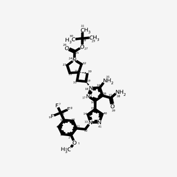 COc1ccc(C(F)(F)F)cc1Cn1cc(-c2nn([C@H]3C[C@@]4(CCN(C(=O)OC(C)(C)C)C4)C3)c(N)c2C(N)=O)cn1